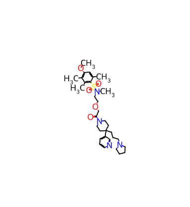 COc1cc(C)c(S(=O)(=O)N(C)CCOCC(=O)N2CCC(CCCN3CCCC3)(c3cccnc3)CC2)c(C)c1C